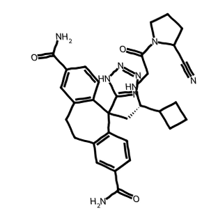 N#CC1CCCN1C(=O)CN[C@@H](CC1(c2nnn[nH]2)c2ccc(C(N)=O)cc2CCc2cc(C(N)=O)ccc21)C1CCC1